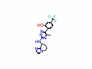 Cc1nc(NC2CCCn3ccnc32)nnc1-c1ccc(C(F)(F)F)cc1O